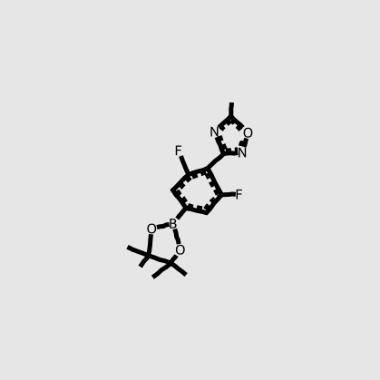 Cc1nc(-c2c(F)cc(B3OC(C)(C)C(C)(C)O3)cc2F)no1